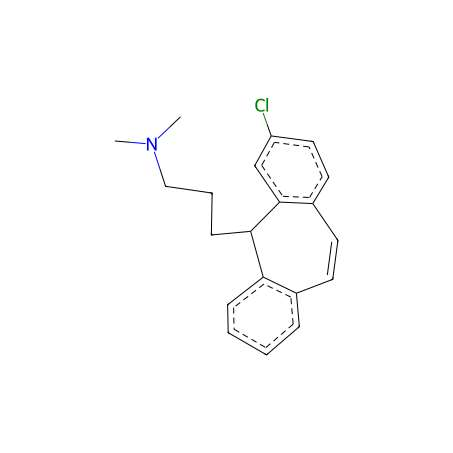 CN(C)CCCC1c2ccccc2C=Cc2ccc(Cl)cc21